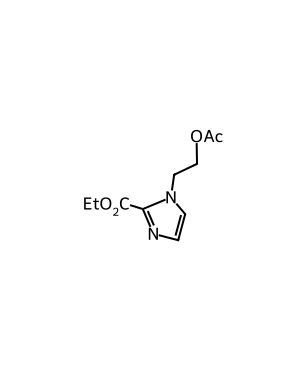 CCOC(=O)c1nccn1CCOC(C)=O